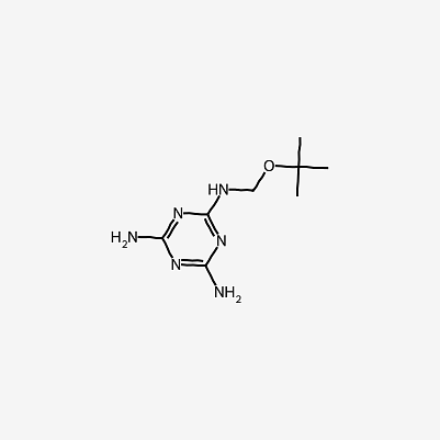 CC(C)(C)OCNc1nc(N)nc(N)n1